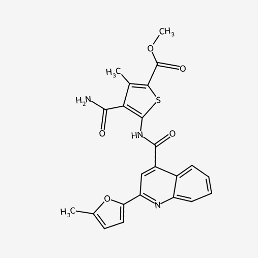 COC(=O)c1sc(NC(=O)c2cc(-c3ccc(C)o3)nc3ccccc23)c(C(N)=O)c1C